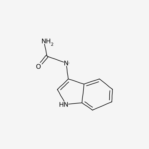 NC(=O)[N]c1c[nH]c2ccccc12